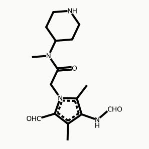 Cc1c(NC=O)c(C)n(CC(=O)N(C)C2CCNCC2)c1C=O